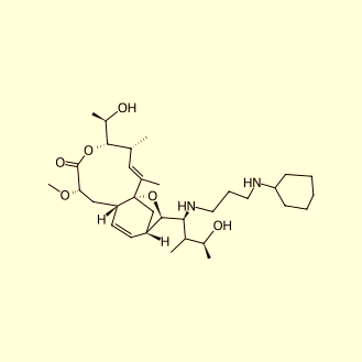 CO[C@H]1C[C@H]2C=C[C@@H]3C[C@]2(O[C@H]3[C@@H](NCCCNC2CCCCC2)C(C)[C@H](C)O)/C(C)=C/[C@@H](C)[C@@H]([C@@H](C)O)OC1=O